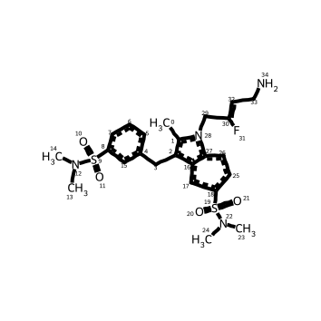 Cc1c(Cc2cccc(S(=O)(=O)N(C)C)c2)c2cc(S(=O)(=O)N(C)C)ccc2n1CC(F)=CCN